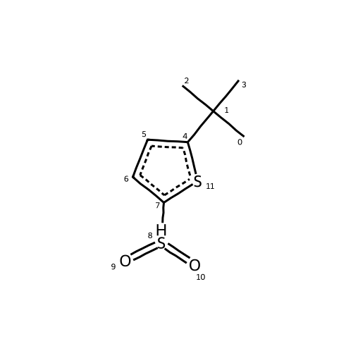 CC(C)(C)c1ccc([SH](=O)=O)s1